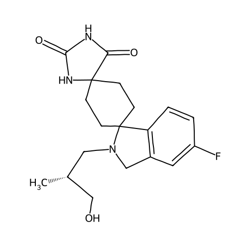 C[C@@H](CO)CN1Cc2cc(F)ccc2C12CCC1(CC2)NC(=O)NC1=O